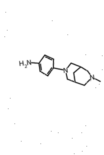 CN1CC2CC(C1)CN(c1ccc(N)cc1)C2